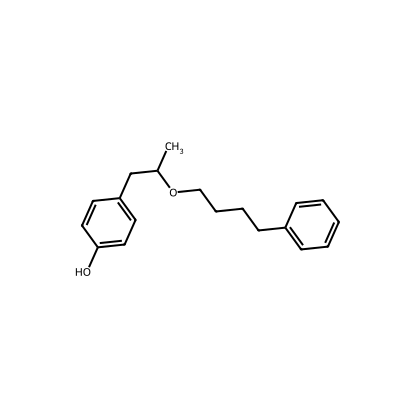 CC(Cc1ccc(O)cc1)OCCCCc1ccccc1